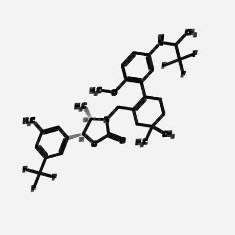 COc1ccc(NC(C)C(F)(F)F)cc1C1=C(CN2C(=O)O[C@H](c3cc(C)cc(C(F)(F)F)c3)[C@@H]2C)CC(C)(C)CC1